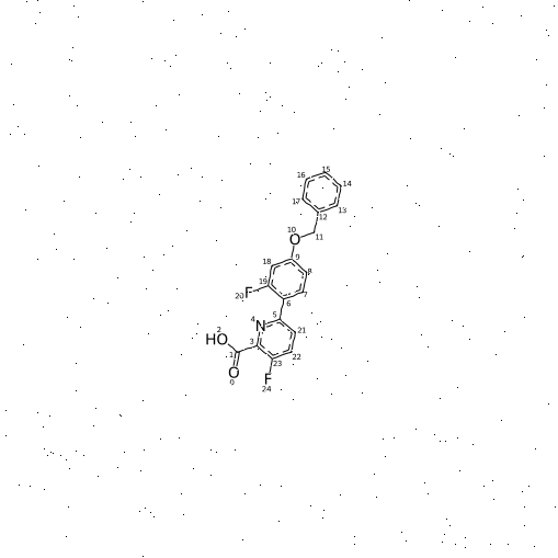 O=C(O)c1nc(-c2ccc(OCc3ccccc3)cc2F)ccc1F